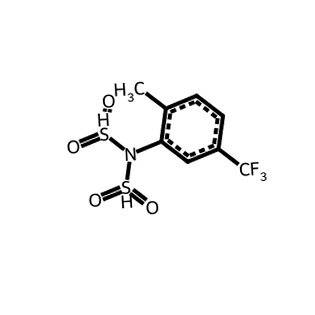 Cc1ccc(C(F)(F)F)cc1N([SH](=O)=O)[SH](=O)=O